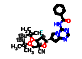 CC(C)(C)[Si](C)(C)OC[C@@]1(C#N)O[C@@H](c2cc3ncnc(NC(=O)c4ccccc4)n3c2)[C@H](F)[C@@H]1O[Si](C)(C)C(C)(C)C